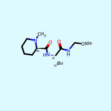 CC[C@H](C)[C@H](NC(=O)[C@H]1CCCCN1C)C(=O)NCOC